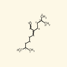 CC(C)CCCC=C(C=O)CCC(C)C